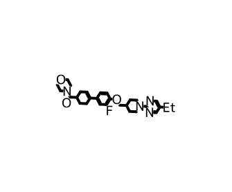 CCc1cnc(N2CCC(COc3ccc(C4=CCC(C(=O)N5CCOCC5)CC4)cc3F)CC2)nc1